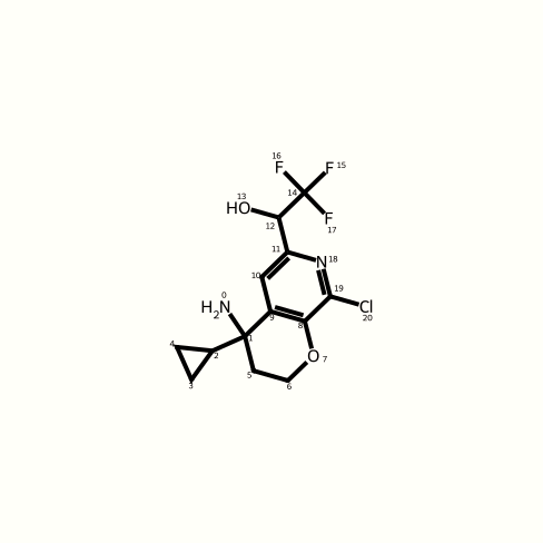 NC1(C2CC2)CCOc2c1cc(C(O)C(F)(F)F)nc2Cl